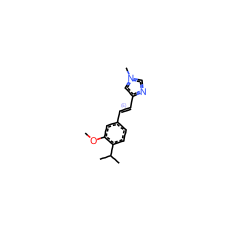 COc1cc(/C=C/c2cn(C)cn2)ccc1C(C)C